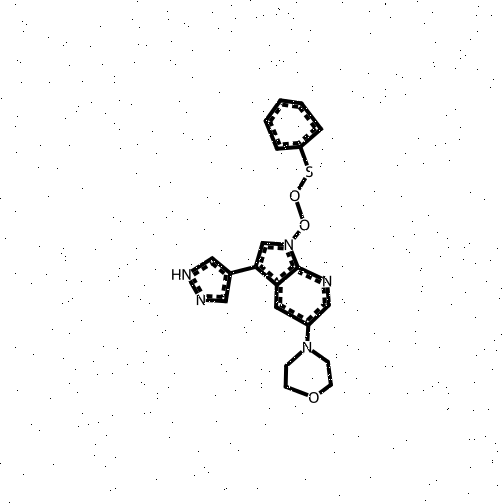 c1ccc(SOOn2cc(-c3cn[nH]c3)c3cc(N4CCOCC4)cnc32)cc1